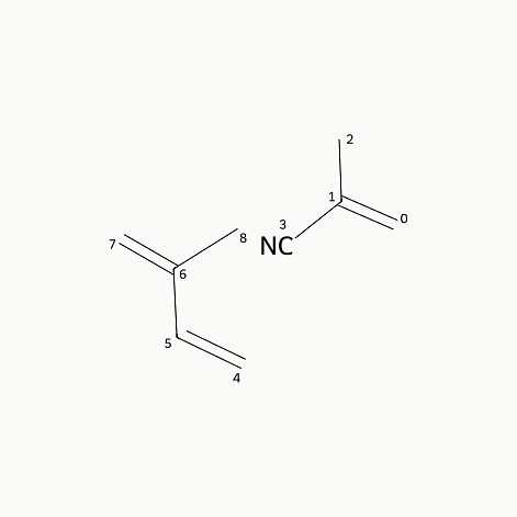 C=C(C)C#N.C=CC(=C)C